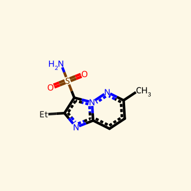 CCc1nc2ccc(C)nn2c1S(N)(=O)=O